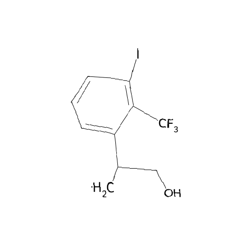 [CH2]C(CO)c1cccc(I)c1C(F)(F)F